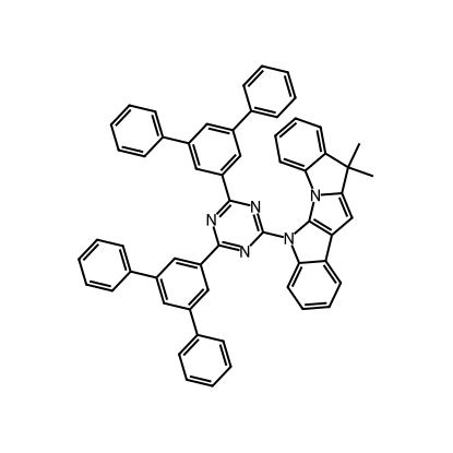 CC1(C)c2ccccc2-n2c1cc1c3ccccc3n(-c3nc(-c4cc(-c5ccccc5)cc(-c5ccccc5)c4)nc(-c4cc(-c5ccccc5)cc(-c5ccccc5)c4)n3)c12